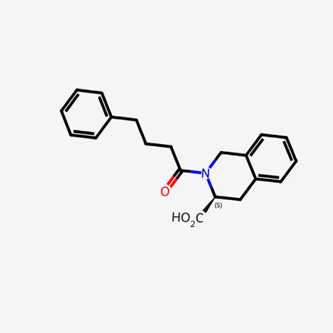 O=C(O)[C@@H]1Cc2ccccc2CN1C(=O)CCCc1ccccc1